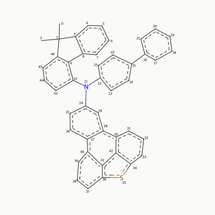 CC1(C)c2ccccc2-c2c(N(c3ccc(-c4ccccc4)cc3)c3ccc4c(c3)c3cccc5sc6cccc4c6c53)cccc21